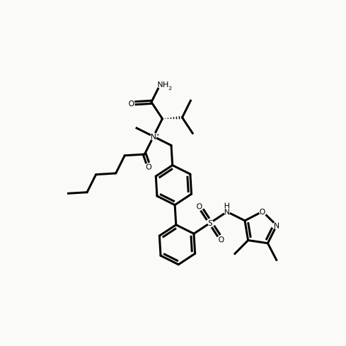 CCCCCC(=O)[N+](C)(Cc1ccc(-c2ccccc2S(=O)(=O)Nc2onc(C)c2C)cc1)[C@H](C(N)=O)C(C)C